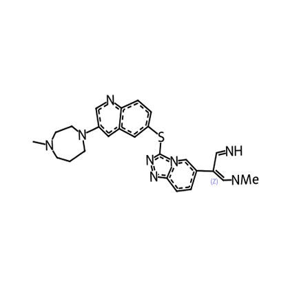 CN/C=C(\C=N)c1ccc2nnc(Sc3ccc4ncc(N5CCCN(C)CC5)cc4c3)n2c1